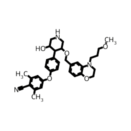 COCCCN1CCOc2ccc(COC3CNCC(O)C3c3ccc(Oc4cc(C)c(C#N)c(C)c4)cc3)cc21